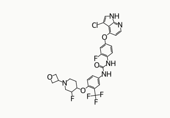 O=C(Nc1ccc(OC2CCN(C3COC3)CC2F)c(C(F)(F)F)c1)Nc1ccc(Oc2ccnc3[nH]cc(Cl)c23)cc1F